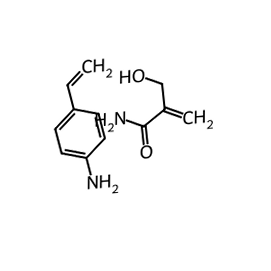 C=C(CO)C(N)=O.C=Cc1ccc(N)cc1